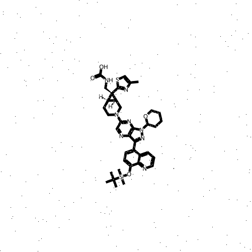 Cc1csc([C@@]2(CNC(=O)O)[C@@H]3CCN(c4cnc5c(-c6ccc(O[Si](C)(C)C(C)(C)C)c7ncccc67)nn(C6CCCCO6)c5n4)C[C@@H]32)n1